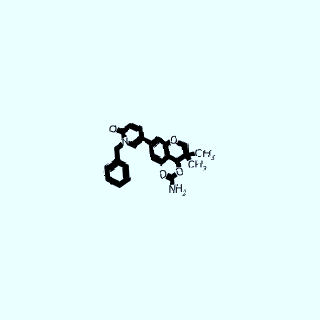 CC1(C)COc2cc(-c3ccc(=O)n(Cc4ccccc4)c3)ccc2C1OC(N)=O